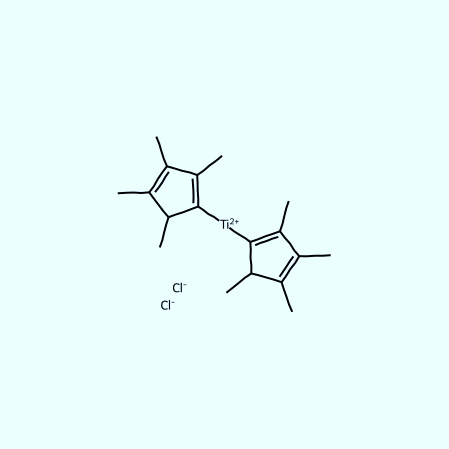 CC1=C(C)C(C)[C]([Ti+2][C]2=C(C)C(C)=C(C)C2C)=C1C.[Cl-].[Cl-]